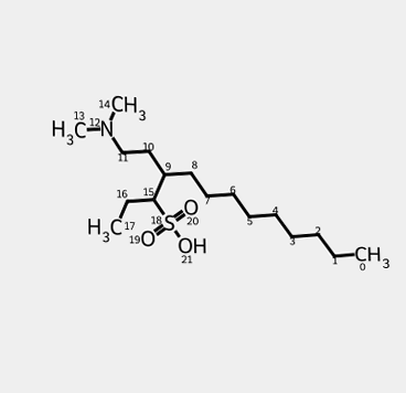 CCCCCCCCCC(CCN(C)C)C(CC)S(=O)(=O)O